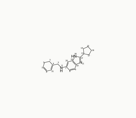 C1=CCCC(CNc2ccc3nc(C4CCCC4)[nH]c3c2)=C1